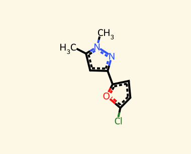 Cc1cc(-c2ccc(Cl)o2)nn1C